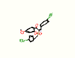 COc1ccc(C(=O)/C(=C\c2ccc(Br)cc2)S(=O)(=O)Cc2ccc(Br)cc2)cc1